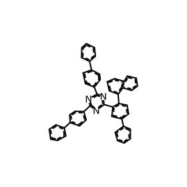 c1ccc(-c2ccc(-c3nc(-c4ccc(-c5ccccc5)cc4)nc(-c4cc(-c5ccccc5)ccc4-c4cccc5ccccc45)n3)cc2)cc1